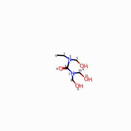 CCN(CO)C(=O)N(CO)CO